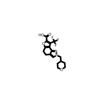 O=C(O)c1oc2c(c1C(F)(F)F)-c1nn(CC3CCOCC3)cc1CC2